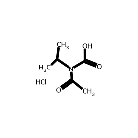 CC(=O)N(C(=O)O)C(C)C.Cl